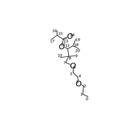 CCCOCCOCC(C)(C)C(OC(=O)C(C)C)C(C)C